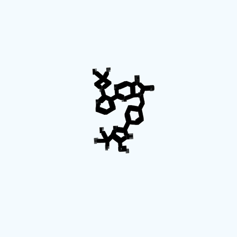 Cc1[nH]c(-c2ccc(Cn3c(=O)[nH]c4cnc(-c5cccnc5N5CC(F)(F)C5)nc43)cc2)nc1C(F)(F)F